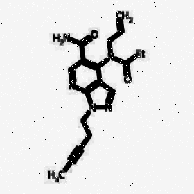 C=CCN(C(=O)CC)c1c(C(N)=O)cnc2c1cnn2CCC#CC